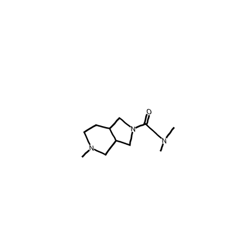 CN1CCC2CN(C(=O)N(C)C)CC2C1